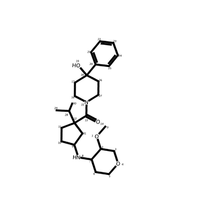 COC1COCCC1NC1CCC(C(=O)N2CCC(O)(c3ccccc3)CC2)(C(C)C)C1